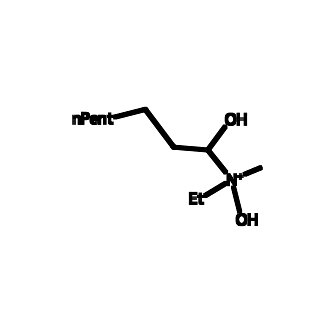 CCCCCCCC(O)[N+](C)(O)CC